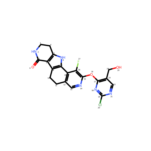 O=C1NCCc2[nH]c3c(c21)CCc1cnc(Oc2nc(Cl)ncc2CO)c(F)c1-3